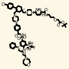 CC(C)(C)OC(=O)COCCCNC(=O)c1ccc(N2CCN(C[C@]3(C)CCC(c4ccc(Cl)cc4)=C(CN4CCN(c5ccc(C(=O)NS(=O)(=O)c6ccc(N[C@H](CCN7CCCOCC7)CSc7ccccc7)c(S(=O)(=O)C(F)(F)F)c6)cc5)CC4)C3)CC2)nn1